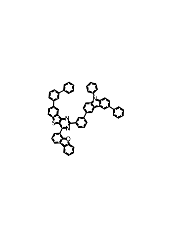 c1ccc(-c2cccc(-c3ccc4sc5c(-c6cccc7c6oc6ccccc67)nc(-c6cccc(-c7ccc8c(c7)c7cc(-c9ccccc9)ccc7n8-c7ccccc7)c6)nc5c4c3)c2)cc1